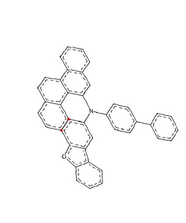 c1ccc(-c2ccc(N(c3ccc4oc5ccccc5c4c3)c3cc4ccccc4c4ccc5ccccc5c34)cc2)cc1